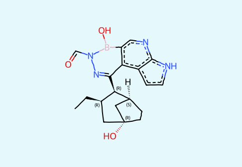 CC[C@@H]1C[C@]2(O)CC[C@@H](C2)[C@@H]1C1=NN(C=O)B(O)c2cnc3[nH]ccc3c21